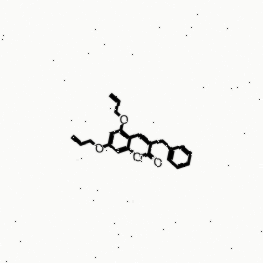 C=CCOc1cc(OCC=C)c2cc(Cc3ccccc3)c(=O)oc2c1